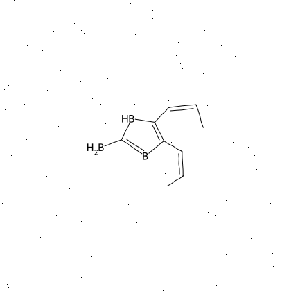 BC1=BC(/C=C\C)=C(/C=C\C)B1